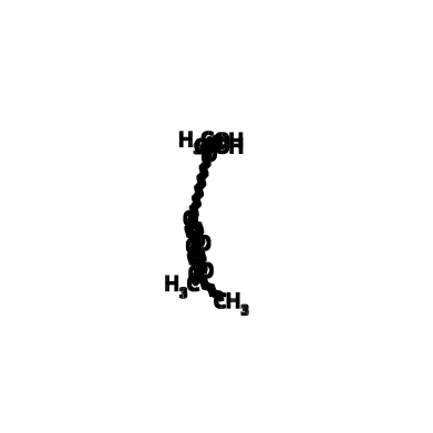 CCCCCCC(C)OC(=O)c1ccc(OC(=O)c2ccc(OCCCCCCCCCCCCOC(=O)C(C)(CO)CO)cc2)cc1